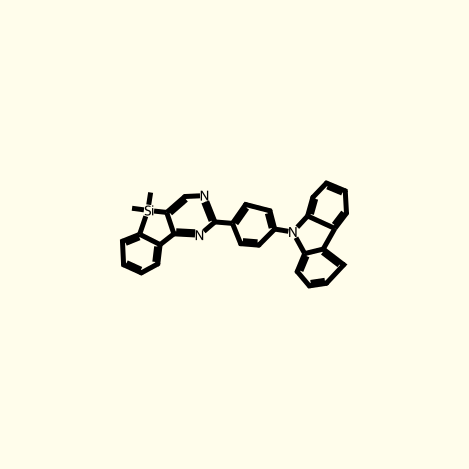 C[Si]1(C)c2ccccc2-c2nc(-c3ccc(-n4c5ccccc5c5ccccc54)cc3)ncc21